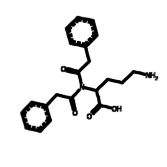 NCCCC(C(=O)O)N(C(=O)Cc1ccccc1)C(=O)Cc1ccccc1